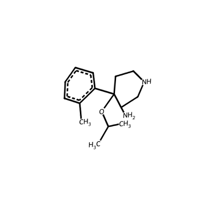 Cc1ccccc1C1(OC(C)C)CCNCC1N